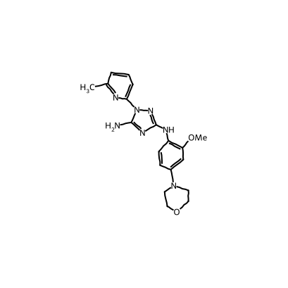 COc1cc(N2CCOCC2)ccc1Nc1nc(N)n(-c2cccc(C)n2)n1